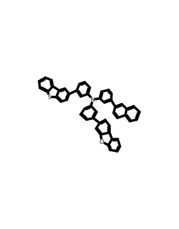 c1cc(-c2ccc3ccccc3c2)cc(N(c2cccc(-c3ccc4c(c3)oc3ccccc34)c2)c2cccc(-c3ccc4sc5ccccc5c4c3)c2)c1